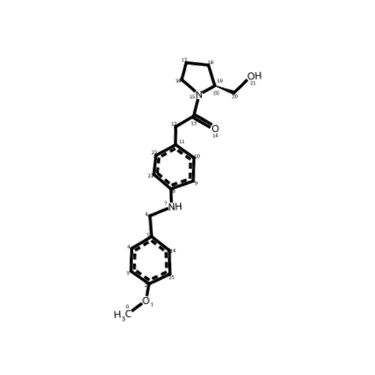 COc1ccc(CNc2ccc(CC(=O)N3CCC[C@H]3CO)cc2)cc1